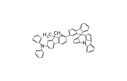 CC1(C)c2cc(-c3ccc4c(c3)C3(c5ccccc5-4)c4ccccc4-n4c5ccccc5c5cccc3c54)ccc2-c2ccc(N(c3ccccc3)c3ccccc3)cc21